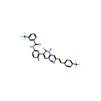 Cc1ccc(NC(=O)c2cccc(C(F)(F)F)c2)cc1-c1cc2cnc(/C=C/c3ccc(C(F)(F)F)cc3)cc2n(C)c1=O